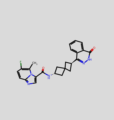 Cc1c(F)ccc2ncc(C(=O)N[C@H]3CC4(C3)C[C@H](c3n[nH]c(=O)c5ccccc53)C4)n12